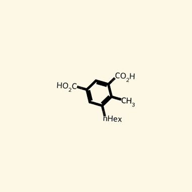 CCCCCCc1cc(C(=O)O)cc(C(=O)O)c1C